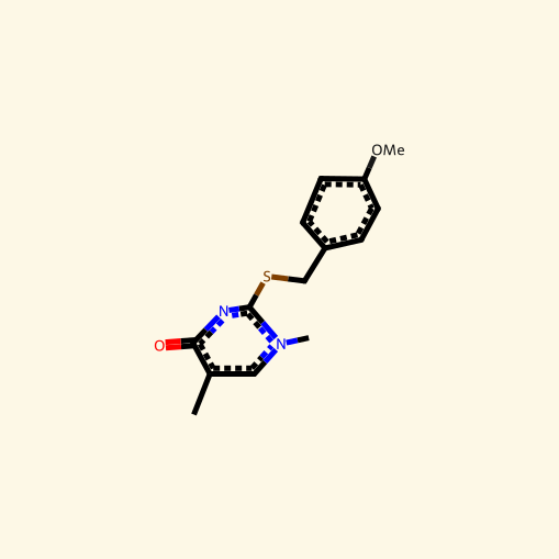 COc1ccc(CSc2nc(=O)c(C)cn2C)cc1